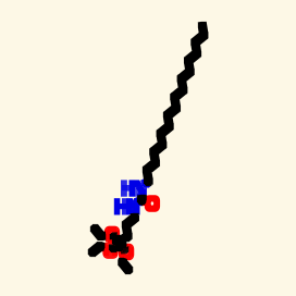 CCCCCCCCCCCCCCCCCCNC(=O)NCCC[Si](OCC)(OCC)OCC